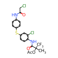 CC(=O)OC(C)(C(=O)Nc1ccc(Sc2ccc(NC(=O)CCl)cc2)cc1Cl)C(F)(F)F